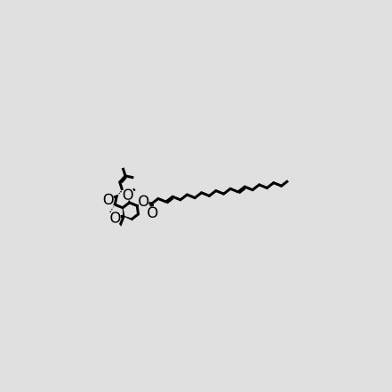 CCCCCC/C=C/CCCCCCCC/C=C/CC(=O)O[C@@H]1CC[C@]2(CO2)[C@@H]([C@@]2(C)O[C@@H]2CC=C(C)C)[C@@H]1OC